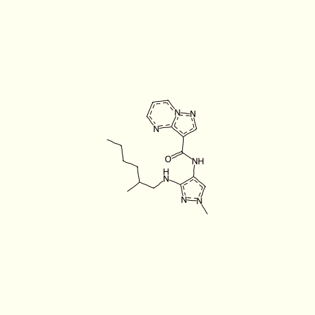 CCCCC(C)CNc1nn(C)cc1NC(=O)c1cnn2cccnc12